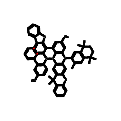 Cc1cc2c(cc1N1c3cc4c(cc3B3c5c(cc(C(C)(C)C)cc51)-c1c(ccc5c1sc1ccccc15)N3c1ccc(C(C)(C)C)cc1-c1ccccc1)C(C)(C)c1ccccc1S4)C(C)(C)CCC2(C)C